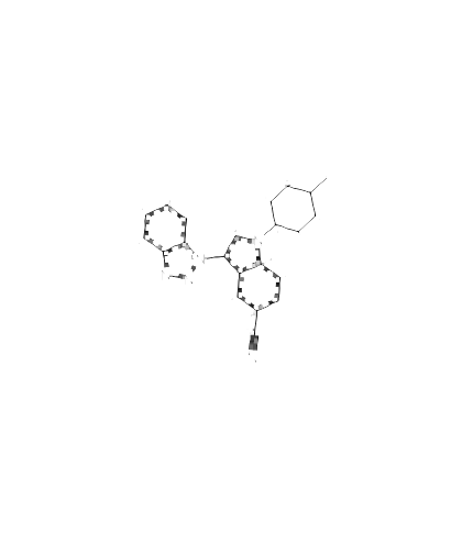 CC1CCC(n2cc(-n3nnc4ccccc43)c3cc(C#N)ccc32)CC1